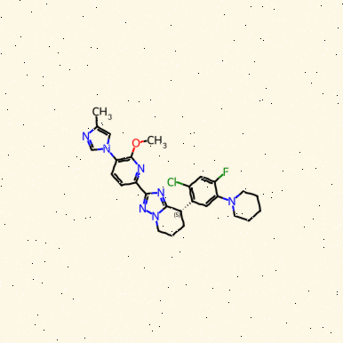 COc1nc(-c2nc3n(n2)CCC[C@H]3c2cc(N3CCCCC3)c(F)cc2Cl)ccc1-n1cnc(C)c1